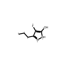 CCCc1n[nH]c(O)c1F